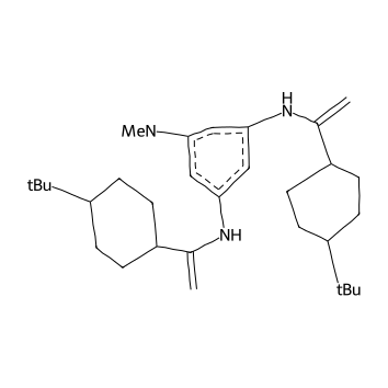 C=C(Nc1cc(NC)cc(NC(=C)C2CCC(C(C)(C)C)CC2)c1)C1CCC(C(C)(C)C)CC1